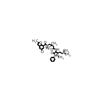 Cc1cc2cc(Cl)cc(C(=O)NCC(C)(C)CC(=O)Nc3c(CCN(C)C)n(C)n(-c4ccccc4)c3=O)c2o1